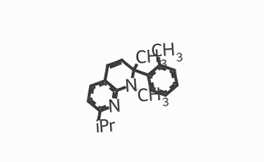 Cc1ccccc1C1(C)C=Cc2ccc(C(C)C)nc2N1C